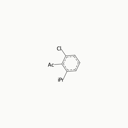 CC(=O)c1c(Cl)cccc1C(C)C